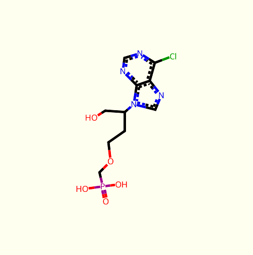 O=P(O)(O)COCCC(CO)n1cnc2c(Cl)ncnc21